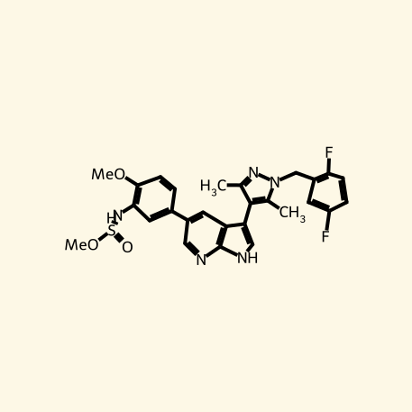 COc1ccc(-c2cnc3[nH]cc(-c4c(C)nn(Cc5cc(F)ccc5F)c4C)c3c2)cc1N=[SH](=O)OC